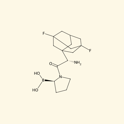 N[C@H](C(=O)N1CCC[C@H]1B(O)O)C12CC3CC(F)(CC(F)(C3)C1)C2